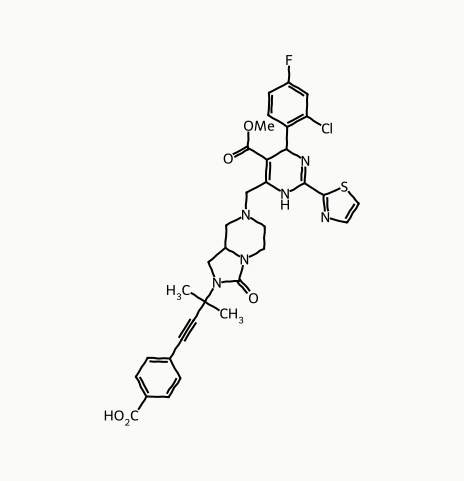 COC(=O)C1=C(CN2CCN3C(=O)N(C(C)(C)C#Cc4ccc(C(=O)O)cc4)CC3C2)NC(c2nccs2)=NC1c1ccc(F)cc1Cl